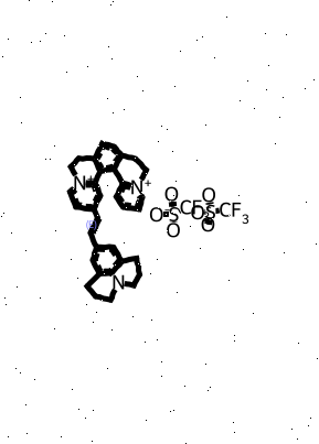 C(=C\c1cc[n+]2c(c1)-c1c(ccc3c1-c1cccc[n+]1CC3)CC2)/c1cc2c3c(c1)CCCN3CCC2.O=S(=O)([O-])C(F)(F)F.O=S(=O)([O-])C(F)(F)F